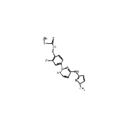 Cn1ccc(NC2=NN(c3ccc(CNC(=O)OC(C)(C)C)c(Cl)c3)NC=C2)n1